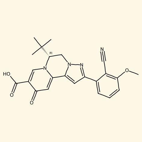 COc1cccc(-c2cc3n(n2)C[C@@H](C(C)(C)C)n2cc(C(=O)O)c(=O)cc2-3)c1C#N